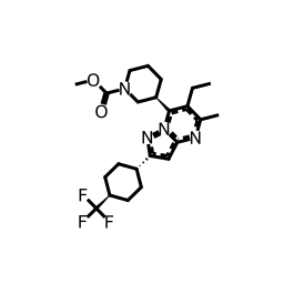 CCc1c(C)nc2cc([C@H]3CC[C@H](C(F)(F)F)CC3)nn2c1[C@@H]1CCCN(C(=O)OC)C1